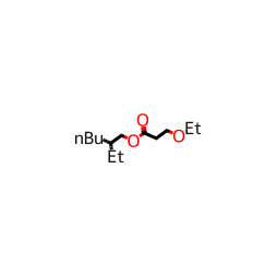 CCCCC(CC)COC(=O)CCOCC